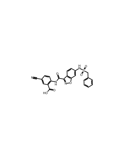 N#Cc1ccc(NC(=O)c2noc3cc(NS(=O)(=O)Cc4ccccc4)ccc23)c(C(=O)O)c1